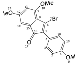 COc1ccc(C2=C(Br)c3c(OC)cc(OC)cc3C2=O)cc1